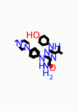 CC(C)c1nc(C(N)=O)c(Nc2ccc(N3CCN(C)CC3)cc2)nc1NC1CCC(O)CC1